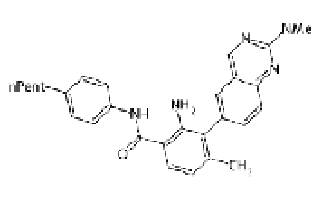 CCCCCc1ccc(NC(=O)c2ccc(C)c(-c3ccc4nc(NC)ncc4c3)c2N)cc1